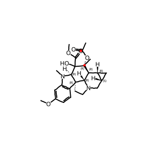 CC[C@]12[C@@H]3C[C@@H]3CN3CC[C@@]4(c5ccc(OC)cc5N(C)[C@H]4C(O)(C(=O)OC)[C@@H]1OC(C)=O)[C@@H]32